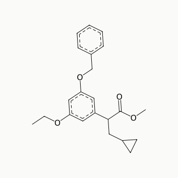 CCOc1cc(OCc2ccccc2)cc(C(CC2CC2)C(=O)OC)c1